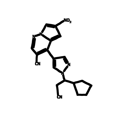 N#CCC(C1CCCC1)n1cc(-c2c(C#N)cnn3cc([N+](=O)[O-])cc23)cn1